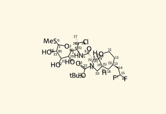 CSC1O[C@H]([C@H](NC(=O)[C@@H]2[C@@H]3OCC[C@@H](CC(F)F)C[C@H]3CN2C(=O)OC(C)(C)C)[C@H](C)Cl)C(O)C(O)[C@H]1O